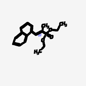 CCOP(=O)(OCC)/C(C)=C/c1cccc2ccccc12